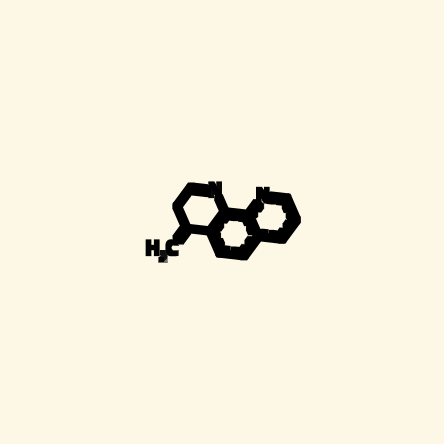 C=C1CC=Nc2c1ccc1cccnc21